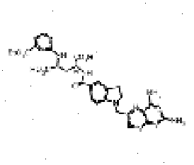 CCOC(=O)c1cccc(NC(C[C@@H](NC(=O)c2ccc3c(c2)CCN3Cc2cnc3nc(N)nc(N)c3n2)C(=O)O)C(=O)O)c1